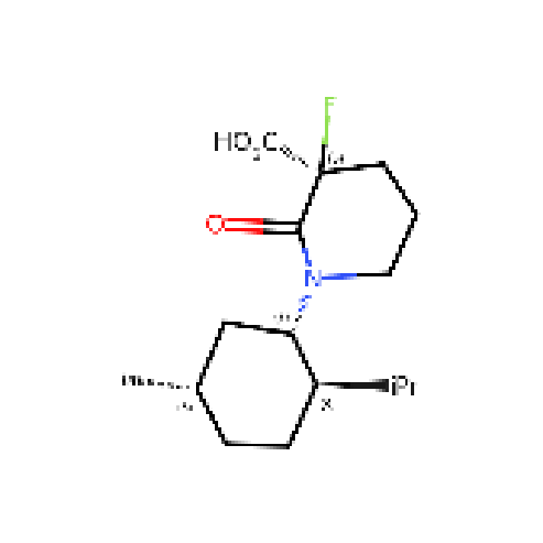 CC(C)[C@H]1CC[C@H](C)C[C@@H]1N1CCC[C@@](F)(C(=O)O)C1=O